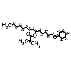 C=C(C)C(=O)OC(CCCCCCCC)CCCCCOc1ccccc1